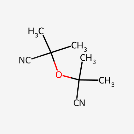 CC(C)(C#N)OC(C)(C)C#N